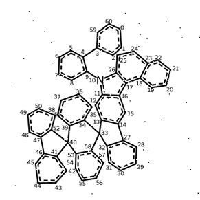 c1ccc(-c2ccccc2-n2c3cc4c(cc3c3c5ccccc5ccc32)-c2ccccc2C42c3ccccc3C3(c4ccccc4-c4ccccc43)c3ccccc32)cc1